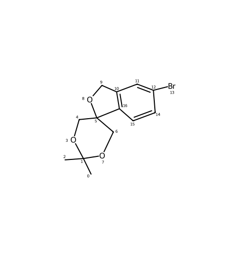 CC1(C)OCC2(CO1)OCc1cc(Br)ccc12